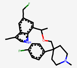 Cc1c[nH]c2c(C(C)OCC3(c4ccc(F)cc4)CCN(C)CC3)cc(CF)cc12